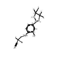 CC(C)(C#N)CNc1ccc(B2OC(C)(C)C(C)(C)O2)cc1F